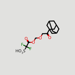 O=C(COCOC(=O)C(F)(F)S(=O)(=O)O)C12CC3CC(CC(C3)C1)C2